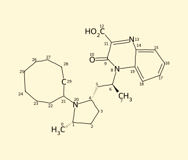 C[C@H]1CC[C@@H](C[C@H](C)n2c(=O)c(C(=O)O)nc3ccccc32)N1C1CCCCCCCC1